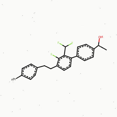 CCCc1ccc(CCc2ccc(-c3ccc(C(C)O)cc3)c(C(F)F)c2F)cc1